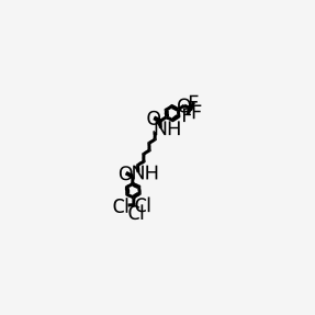 O=C(NCCCCCCCNC(=O)c1ccc(C(Cl)(Cl)Cl)cc1)c1ccc(OC(F)(F)F)cc1